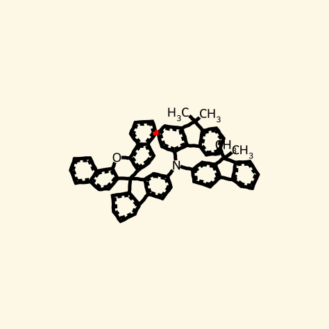 CC1(C)c2ccccc2-c2ccc(N(c3ccc4c(c3)C3(c5ccccc5-4)c4ccc5ccccc5c4Oc4c3ccc3ccccc43)c3cccc4c3-c3ccccc3C4(C)C)cc21